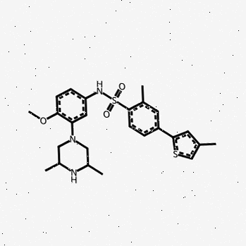 COc1ccc(NS(=O)(=O)c2ccc(-c3cc(C)cs3)cc2C)cc1N1CC(C)NC(C)C1